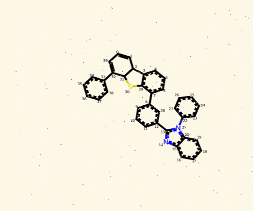 C1=CC2c3cccc(-c4cccc(-c5nc6ccccc6n5-c5ccccc5)c4)c3SC2C(c2ccccc2)=C1